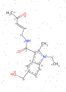 CCn1c(C)c(C(=O)NC/C=C/C(C)=O)c2cc(CO)ccc21